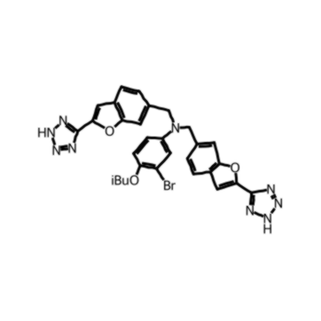 CC(C)COc1ccc(N(Cc2ccc3cc(-c4nn[nH]n4)oc3c2)Cc2ccc3cc(-c4nn[nH]n4)oc3c2)cc1Br